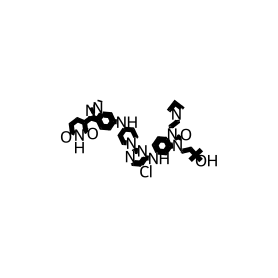 Cn1nc(C2CCC(=O)NC2=O)c2ccc(NC3CCN(c4ncc(Cl)c(Nc5ccc6c(c5)n(CCC(C)(C)O)c(=O)n6CCN5CCC5)n4)CC3)cc21